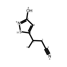 CC(CC#N)c1cc(O)ns1